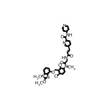 COc1nc2c(OCc3c(Cl)ccc(N(C)C(=O)CNC(=O)/C=C/c4ccc(C(=O)Nc5ccncc5)nc4)c3Cl)cccc2n1C